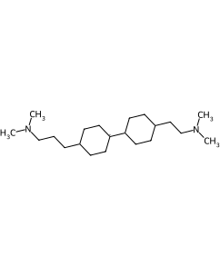 CN(C)CCCC1CC[C](C2CCC(CCN(C)C)CC2)CC1